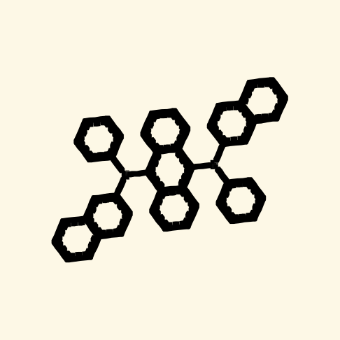 c1ccc(N(c2ccc3ccccc3c2)c2c3ccccc3c(N(c3ccccc3)c3ccc4ccccc4c3)c3ccccc23)cc1